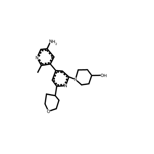 Cc1ncc(N)cc1-c1cc(C2CCOCC2)nc(N2CCC(O)CC2)c1